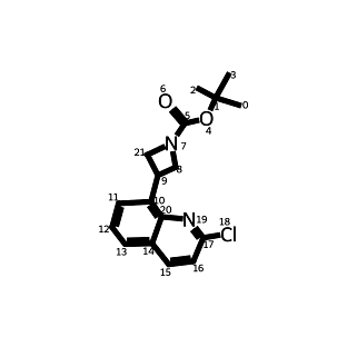 CC(C)(C)OC(=O)N1CC(c2cccc3ccc(Cl)nc23)C1